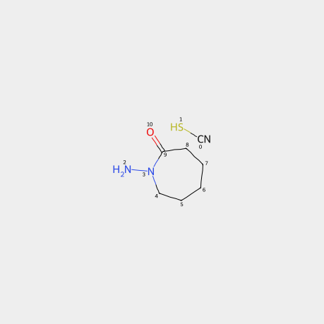 N#CS.NN1CCCCCC1=O